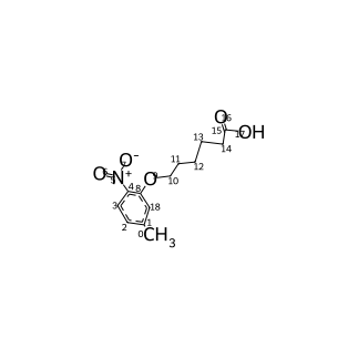 Cc1ccc([N+](=O)[O-])c(OCCCCCC(=O)O)c1